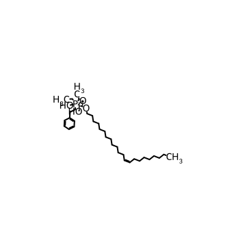 CCCCCCCC/C=C\CCCCCCCCCCCCOP(=O)(O)P(O)(CC)(CC)CCc1ccccc1